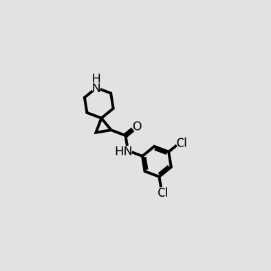 O=C(Nc1cc(Cl)cc(Cl)c1)C1CC12CCNCC2